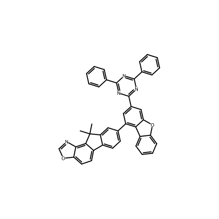 CC1(C)c2cc(-c3cc(-c4nc(-c5ccccc5)nc(-c5ccccc5)n4)cc4oc5ccccc5c34)ccc2-c2ccc3ocnc3c21